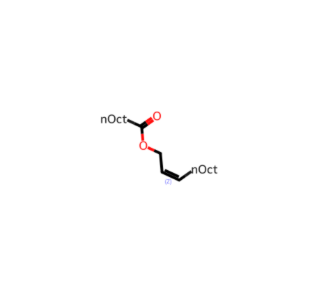 CCCCCCCC/C=C\COC(=O)CCCCCCCC